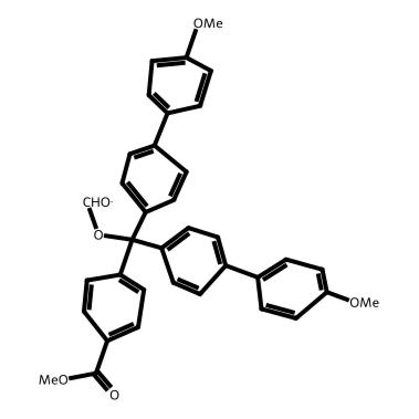 COC(=O)c1ccc(C(O[C]=O)(c2ccc(-c3ccc(OC)cc3)cc2)c2ccc(-c3ccc(OC)cc3)cc2)cc1